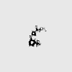 COC(=O)[C@H]1C[C@H](Sc2cccc(C(F)(F)F)c2)C1